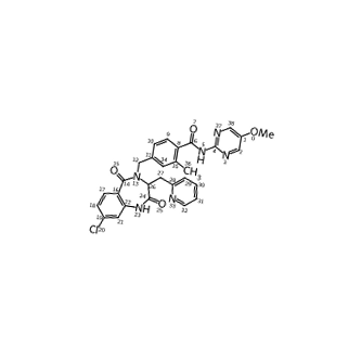 COc1cnc(NC(=O)c2ccc(CN3C(=O)c4ccc(Cl)cc4NC(=O)C3Cc3ccccn3)cc2C)nc1